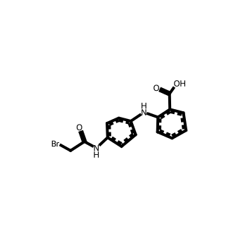 O=C(CBr)Nc1ccc(Nc2ccccc2C(=O)O)cc1